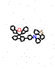 c1ccc(N(c2ccc(-c3ccc4c(c3)C3(c5ccccc5-4)c4ccc5ccccc5c4Oc4c3ccc3ccccc43)cc2)c2cccc3sc4ccccc4c23)cc1